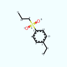 [CH2]Cc1ccc(S(=O)(=O)CCC)cc1